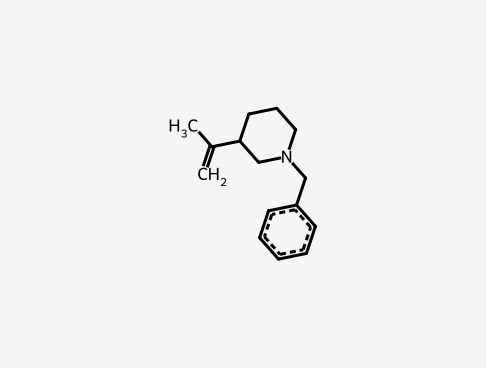 C=C(C)C1CCCN(Cc2ccccc2)C1